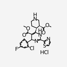 COC(=O)C1=C([C@H]2CCNC[C@H]2C(=O)OC)NC(c2nccs2)=NC1c1ccc(F)cc1Cl.Cl